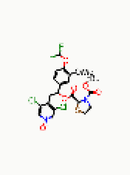 COc1cc(C(Cc2c(Cl)c[n+]([O-])cc2Cl)OC(=O)C2SCCN2C(=O)OC(C)(C)C)ccc1OC(F)F